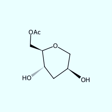 CC(=O)OC[C@H]1OC[C@@H](O)C[C@@H]1O